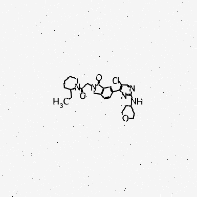 CCC1CCCCN1C(=O)CN1Cc2ccc(-c3nc(NC4CCOCC4)ncc3Cl)cc2C1=O